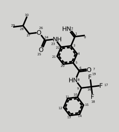 CC(=N)c1cc(C(=O)NC(c2ccccc2)C(F)(F)F)ccc1NC(=O)OCC(C)C